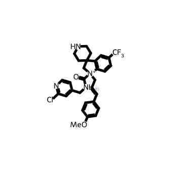 COc1ccc(/C=C/C[N+]2(C(=O)NCc3ccnc(Cl)c3)CC3(CCNCC3)c3cc(C(F)(F)F)ccc32)cc1